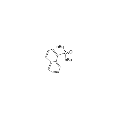 CCCC[As](=O)(CCCC)c1cccc2ccccc12